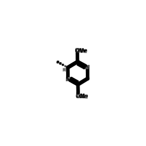 COC1=N[C@H](C)C(OC)=NC1